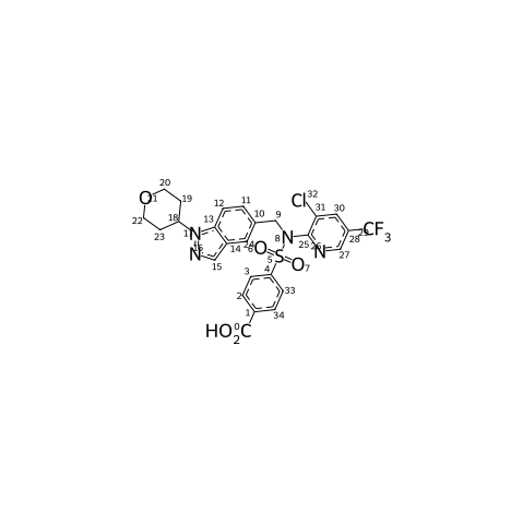 O=C(O)c1ccc(S(=O)(=O)N(Cc2ccc3c(cnn3C3CCOCC3)c2)c2ncc(C(F)(F)F)cc2Cl)cc1